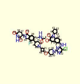 CNC(=O)COc1cc2cc(Nc3nc(N4CCC(O[C@H]5C[C@H](N6CCC(c7ccc8c(c7F)CN(C7CCC(=O)NC7=O)C8=O)CC6)C5)CC4)ncc3Cl)ccc2n(C2CCCC2)c1=O